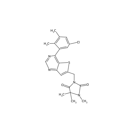 Cc1cc(Cl)cc(-c2ncnc3cc(CN4C(=O)N(C)C(C)(C)C4=O)sc23)c1C